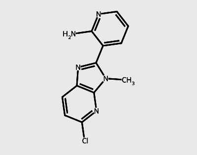 Cn1c(-c2cccnc2N)nc2ccc(Cl)nc21